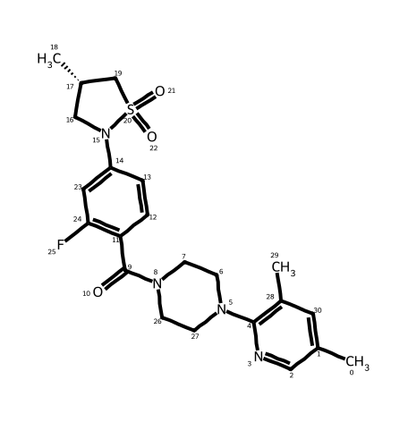 Cc1cnc(N2CCN(C(=O)c3ccc(N4C[C@H](C)CS4(=O)=O)cc3F)CC2)c(C)c1